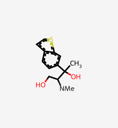 CNC(CO)C(C)(O)c1ccc2ccsc2c1